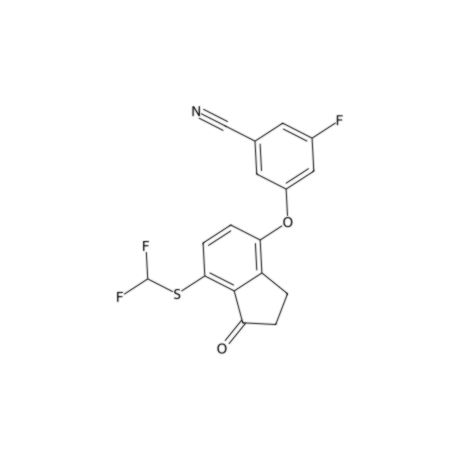 N#Cc1cc(F)cc(Oc2ccc(SC(F)F)c3c2CCC3=O)c1